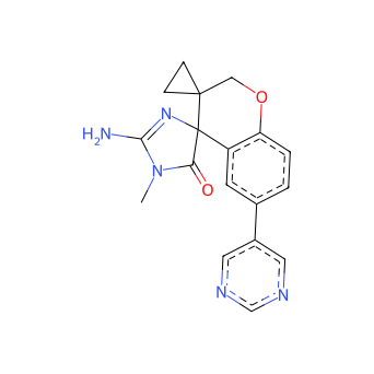 CN1C(=O)C2(N=C1N)c1cc(-c3cncnc3)ccc1OCC21CC1